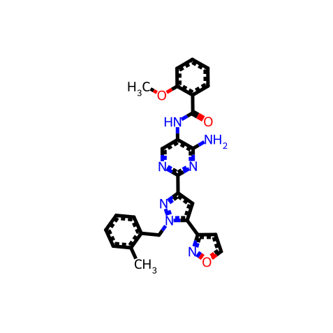 COc1ccccc1C(=O)Nc1cnc(-c2cc(-c3ccon3)n(Cc3ccccc3C)n2)nc1N